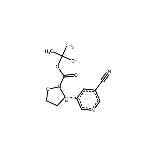 CC(C)(C)OC(=O)N1OCC[C@H]1c1cncc(C#N)c1